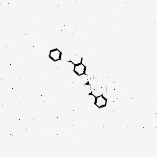 Cc1cc(NC(=O)NC(=O)c2ccccc2Cl)ccc1COc1ccccc1